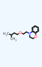 CC(C)CCOCCN1CCOc2ccccc21